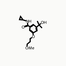 COCCCOc1cc(C(=O)NC2CC2)cc(C(C)(C)O)c1